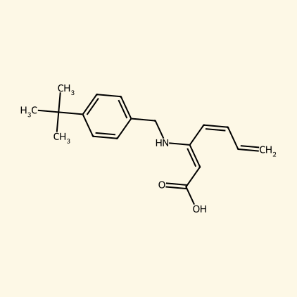 C=C/C=C\C(=C\C(=O)O)NCc1ccc(C(C)(C)C)cc1